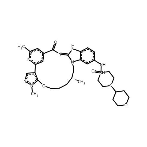 Cc1cc2cc(n1)-c1cnn(C)c1OCCC[C@@H](C)CN1/C(=N/C2=O)Nc2ccc(N[SH]3(=O)CCN(C4CCOCC4)CC3)cc21